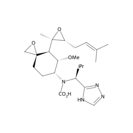 CO[C@@H]1[C@H](N(C(=O)O)[C@H](c2nnc[nH]2)C(C)C)CC[C@]2(CO2)[C@H]1[C@@]1(C)O[C@@H]1CC=C(C)C